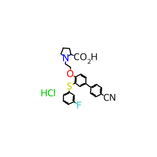 Cl.N#Cc1ccc(-c2ccc(OCCN3CCCC3C(=O)O)c(Sc3cccc(F)c3)c2)cc1